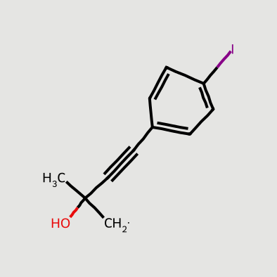 [CH2]C(C)(O)C#Cc1ccc(I)cc1